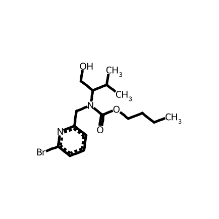 CCCCOC(=O)N(Cc1cccc(Br)n1)C(CO)C(C)C